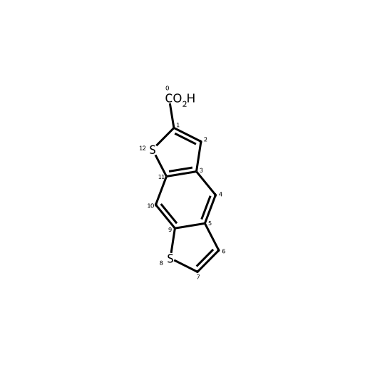 O=C(O)c1cc2cc3ccsc3cc2s1